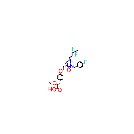 CCOC(Cc1ccc(OCCN(CCCCCC(C)(F)F)C(=O)NCc2ccc(F)cc2)cc1)C(=O)O